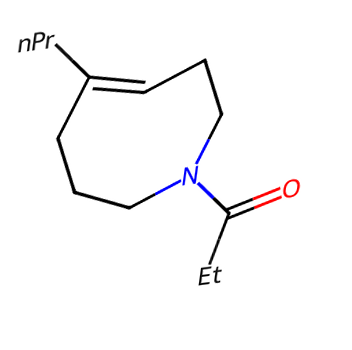 CCC/C1=C\CCN(C(=O)CC)CCC1